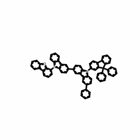 c1ccc(-c2ccc3c(c2)c2cc(-c4ccc5c(c4)c4ccccc4n5-c4cccc5c4oc4ccccc45)ccc2n3-c2ccc3c(c2)C(c2ccccc2)(c2ccccc2)c2ccccc2-3)cc1